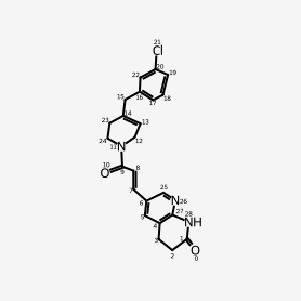 O=C1CCc2cc(/C=C/C(=O)N3CC=C(Cc4cccc(Cl)c4)CC3)cnc2N1